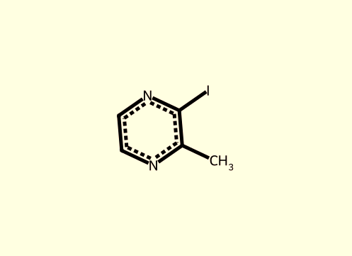 Cc1nccnc1I